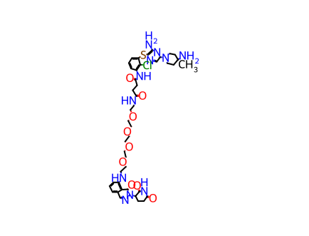 CC1(N)CCN(c2cnc(Sc3cccc(NC(=O)CCC(=O)NCCOCCOCCOCCOCCNc4cccc5cnn(C6CCC(=O)NC6=O)c(=O)c45)c3Cl)c(N)n2)CC1